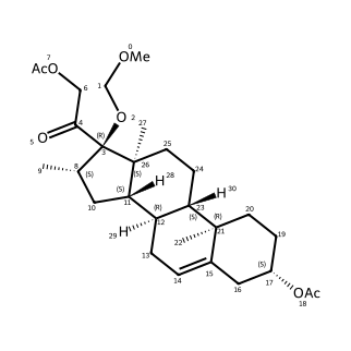 COCO[C@]1(C(=O)COC(C)=O)[C@@H](C)C[C@H]2[C@@H]3CC=C4C[C@@H](OC(C)=O)CC[C@]4(C)[C@H]3CC[C@@]21C